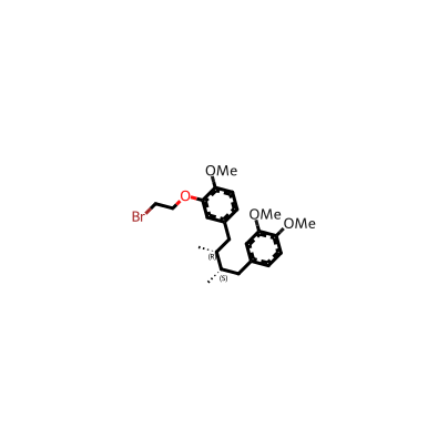 COc1ccc(C[C@H](C)[C@H](C)Cc2ccc(OC)c(OCCBr)c2)cc1OC